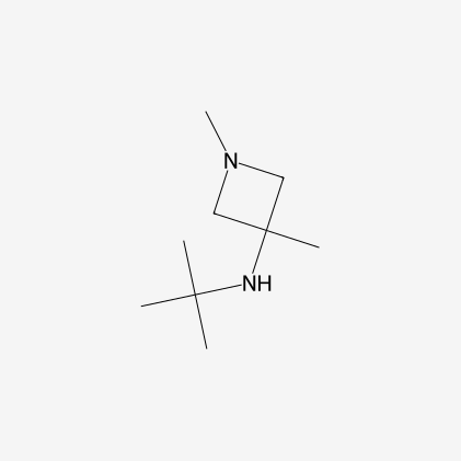 CN1CC(C)(NC(C)(C)C)C1